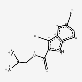 CC(C)COC(=O)c1[nH]c2ccc(F)cc2c1I